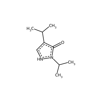 CC(C)c1c[nH]n(C(C)C)c1=O